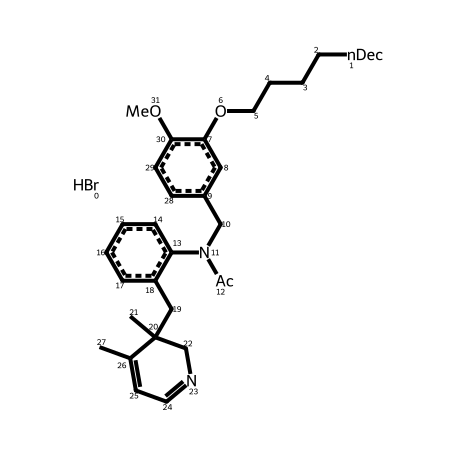 Br.CCCCCCCCCCCCCCOc1cc(CN(C(C)=O)c2ccccc2CC2(C)CN=CC=C2C)ccc1OC